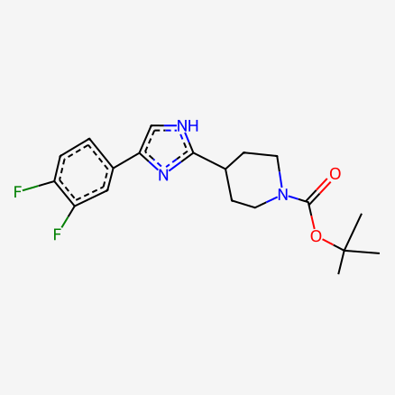 CC(C)(C)OC(=O)N1CCC(c2nc(-c3ccc(F)c(F)c3)c[nH]2)CC1